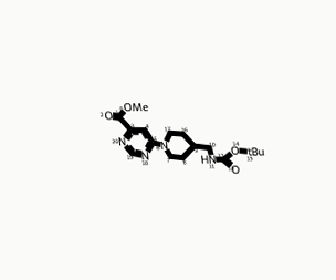 COC(=O)c1cc(N2CCC(CNC(=O)OC(C)(C)C)CC2)ncn1